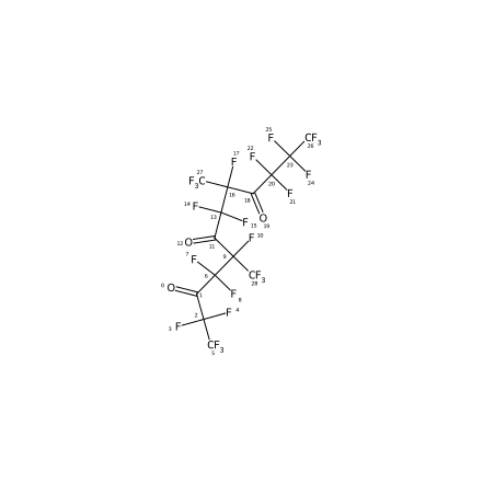 O=C(C(F)(F)C(F)(F)F)C(F)(F)C(F)(C(=O)C(F)(F)C(F)(C(=O)C(F)(F)C(F)(F)C(F)(F)F)C(F)(F)F)C(F)(F)F